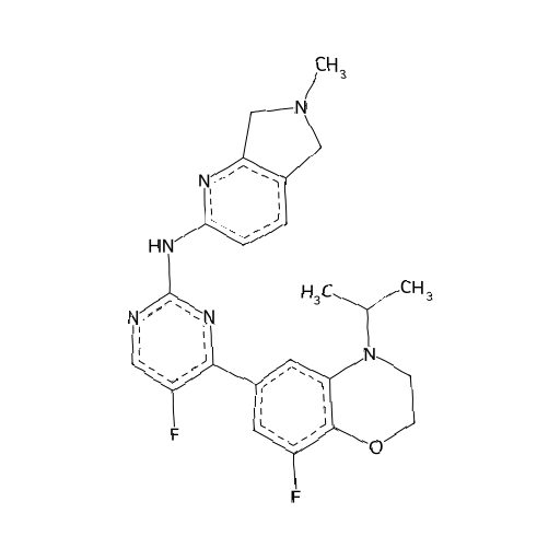 CC(C)N1CCOc2c(F)cc(-c3nc(Nc4ccc5c(n4)CN(C)C5)ncc3F)cc21